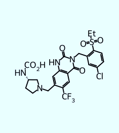 CCS(=O)(=O)c1ccc(Cl)cc1Cn1c(=O)[nH]c2cc(CN3CC[C@H](NC(=O)O)C3)c(C(F)(F)F)cc2c1=O